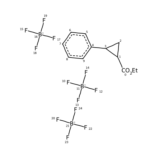 CCOC(=O)C1CC1c1ccccc1.F[B-](F)(F)F.F[B-](F)(F)F.F[B-](F)(F)F